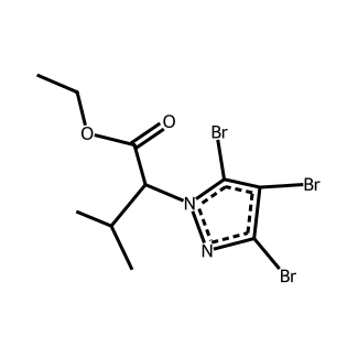 CCOC(=O)C(C(C)C)n1nc(Br)c(Br)c1Br